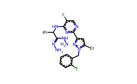 CCc1cc(-c2ncc(F)c(NC(/C(=N/N)NN)C(C)C)n2)nn1Cc1ccccc1F